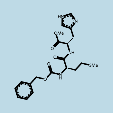 COC(=O)[C@H](Cc1c[nH]cn1)NC(=O)[C@@H](CCSC)NC(=O)OCc1ccccc1